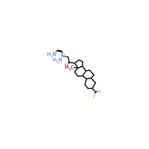 CC12CCC3C4CCC(C(F)F)CC4CCC3C1CCC2C(=O)CN(N)/C=C\N